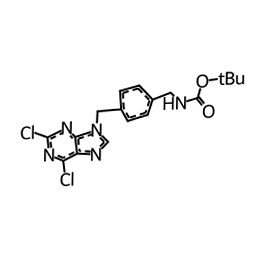 CC(C)(C)OC(=O)NCc1ccc(Cn2cnc3c(Cl)nc(Cl)nc32)cc1